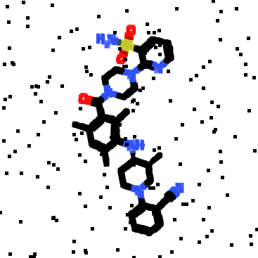 Cc1cc(C)c(C(=O)N2CCN(c3ncccc3S(N)(=O)=O)CC2)c(C)c1N[C@H]1CCN(c2ccccc2C#N)C[C@@H]1C